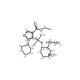 CCOC(=O)c1cnn(C2CCCCC2)c1C(F)(F)F.Cl.NNC1CCCCC1